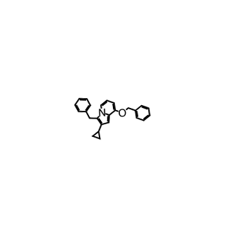 c1ccc(COc2cccn3c(Cc4ccccc4)c(C4CC4)cc23)cc1